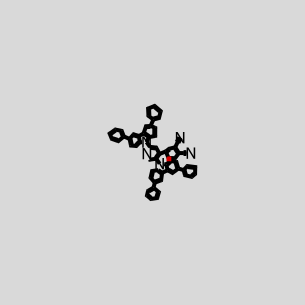 N#Cc1ccc(-c2cc(-n3c4ccc(-c5ccccc5)cc4c4cc(-c5ccccc5)ccc43)ncc2-n2c3ccc(-c4ccccc4)cc3c3cc(-c4ccccc4)ccc32)cc1C#N